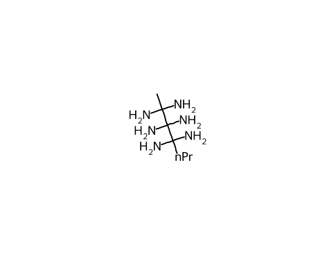 CCCC(N)(N)C(N)(N)C(C)(N)N